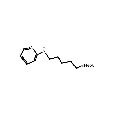 CCCCCCCCCCCCNc1ccccn1